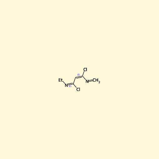 C=N/C(Cl)=C\C(Cl)=N/CC